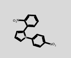 O=[N+]([O-])c1ccc(-n2cccc2-c2ccccc2[N+](=O)[O-])cc1